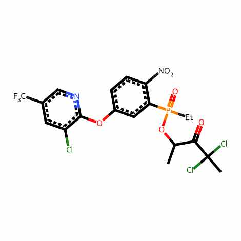 CCP(=O)(OC(C)C(=O)C(C)(Cl)Cl)c1cc(Oc2ncc(C(F)(F)F)cc2Cl)ccc1[N+](=O)[O-]